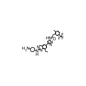 CCc1cc(-c2cc(NC(=O)Cc3cc(C(F)(F)F)ccc3C)nn2C)cc2cnc(NC3CCC(N)CC3)nc12